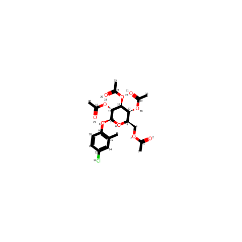 CC(=O)OC[C@H]1O[C@@H](Oc2ccc(Cl)cc2C)[C@H](OC(C)=O)[C@@H](OC(C)=O)[C@@H]1OC(C)=O